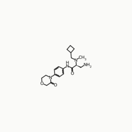 CN(CC1CCC1)[C@@H](CN)C(=O)Nc1ccc(N2CCOCC2=O)cc1